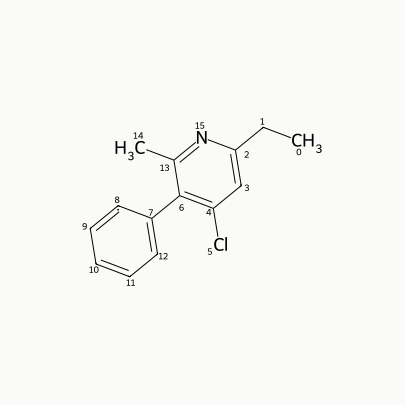 CCc1cc(Cl)c(-c2[c]cccc2)c(C)n1